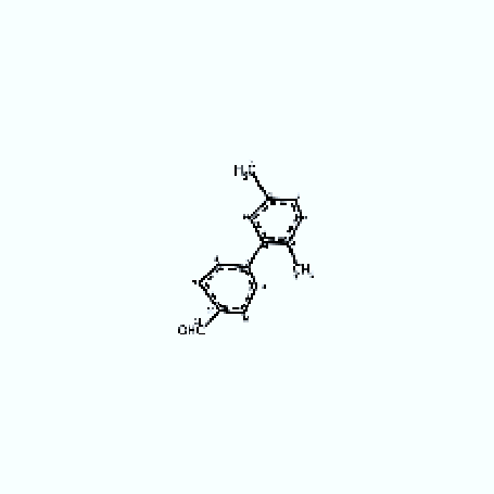 Cc1ccc(C)c(-c2ccc(C=O)cc2)c1